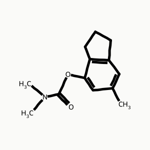 Cc1cc2c(c(OC(=O)N(C)C)c1)CCC2